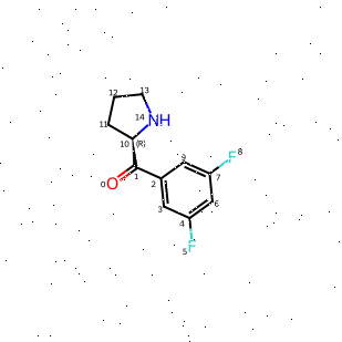 O=C(c1cc(F)cc(F)c1)[C@H]1CCCN1